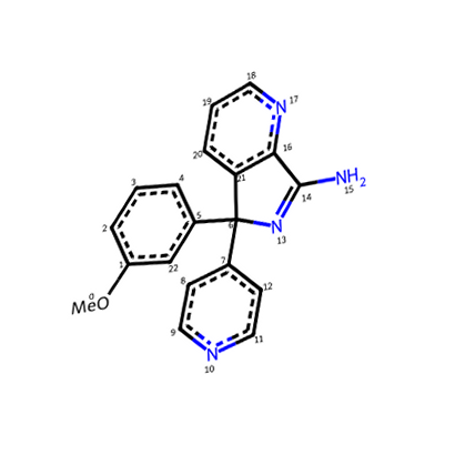 COc1cccc(C2(c3ccncc3)N=C(N)c3ncccc32)c1